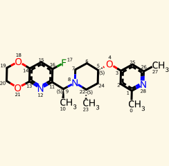 Cc1cc(O[C@H]2CCN([C@@H](C)c3nc4c(cc3F)OCCO4)[C@@H](C)C2)cc(C)n1